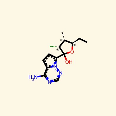 CC[C@H]1OC(O)(c2ccc3c(N)ncnn23)[C@H](F)[C@@H]1C